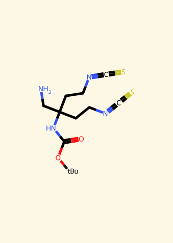 CC(C)(C)OC(=O)NC(CN)(CCN=C=S)CCN=C=S